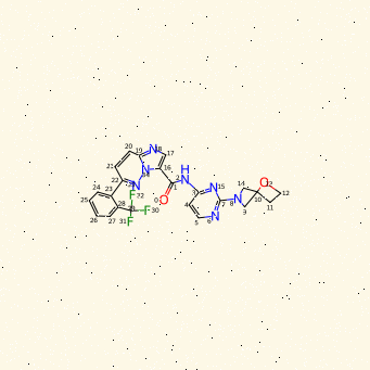 O=C(Nc1ccnc(N2CC3(CCO3)C2)n1)c1cnc2ccc(-c3ccccc3C(F)(F)F)nn12